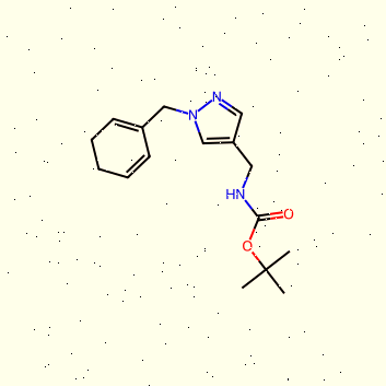 CC(C)(C)OC(=O)NCc1cnn(CC2=CCCC=C2)c1